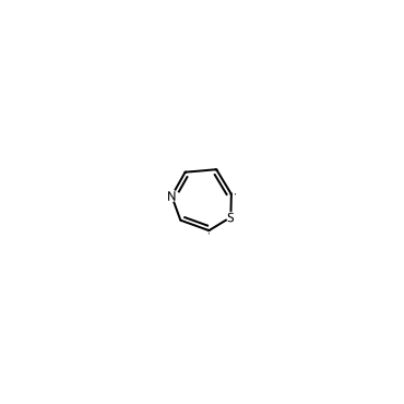 [C]1=CC=NC=[C]S1